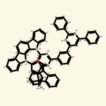 CC1(C)c2ccccc2-c2ccc(-n3c4ccccc4c4ccc5c6ccccc6n(-c6nc(-c7ccccc7)nc(-c7cccc(-c8cc(-c9ccccc9)nc(-c9ccccc9)n8)c7)n6)c5c43)cc21